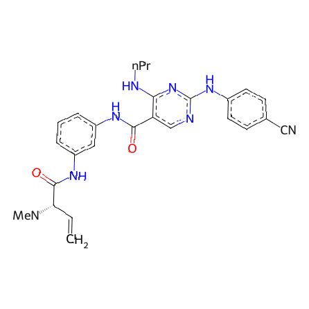 C=C[C@H](NC)C(=O)Nc1cccc(NC(=O)c2cnc(Nc3ccc(C#N)cc3)nc2NCCC)c1